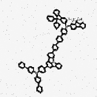 CC1(C)c2ccccc2-c2ccc(N(c3ccc(-c4ccc(-c5ccc(-c6ccc7c8cc(-c9ccc(N(c%10ccc(-c%11ccccc%11)cc%10)c%10ccc(-c%11ccccc%11)cc%10)cc9)cc9c%10ccccc%10n(c7c6)c98)cc5)cc4)cc3)c3ccc4c(c3)C(c3ccccc3)(c3ccccc3)c3ccccc3-4)cc21